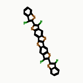 Fc1c(-c2sc3cc4c(cc3c2F)sc2c3cc5sc(-c6sc7ccccc7c6F)c(F)c5cc3sc42)sc2ccccc12